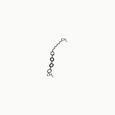 CCCCCCCCCC1CC=C(c2ccc(-c3ccc(C4CCC(C)CC4)cc3)cc2)CC1